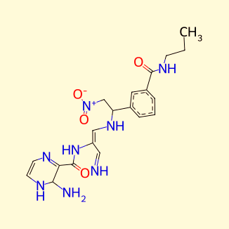 CCCNC(=O)c1cccc(C(C[N+](=O)[O-])N/C=C(\C=N)NC(=O)C2=NC=CNC2N)c1